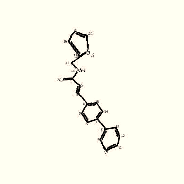 O=C(C=Cc1ccc(-c2ccccc2)cc1)NCc1cccs1